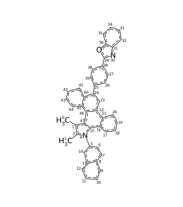 Cc1c(C)n(-c2ccc3ccccc3c2)c2c3ccccc3c3cc(-c4ccc(-c5nc6ccccc6o5)cc4)c4ccccc4c3c12